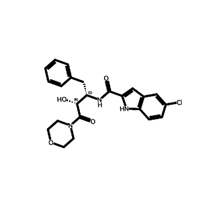 O=C(N[C@@H](Cc1ccccc1)[C@@H](O)C(=O)N1CCOCC1)c1cc2cc(Cl)ccc2[nH]1